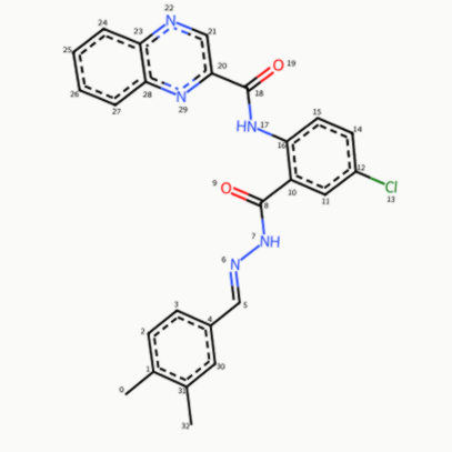 Cc1ccc(C=NNC(=O)c2cc(Cl)ccc2NC(=O)c2cnc3ccccc3n2)cc1C